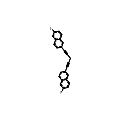 Fc1ccc2cc(C#CCC#Cc3ccc4cc(F)ccc4c3)ccc2c1